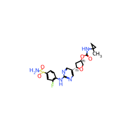 CC1(NC(=O)O[C@H]2CO[C@H](c3cnc(Nc4ccc(S(N)(=O)=O)cc4F)nc3)C2)CC1